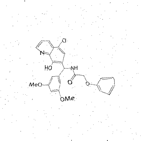 COc1cc(OC)cc(C(NC(=O)COc2ccccc2)c2cc(Cl)c3cccnc3c2O)c1